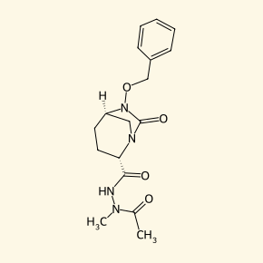 CC(=O)N(C)NC(=O)[C@@H]1CC[C@@H]2CN1C(=O)N2OCc1ccccc1